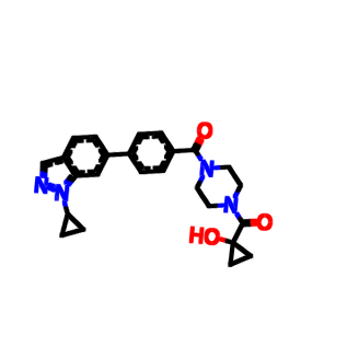 O=C(c1ccc(-c2ccc3cnn(C4CC4)c3c2)cc1)N1CCN(C(=O)C2(O)CC2)CC1